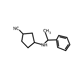 CC(NC1CCC(C#N)C1)c1ccccc1